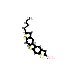 Bc1cc2cc3c(cc2s1)sc1cc2sc(CCCC)cc2cc13